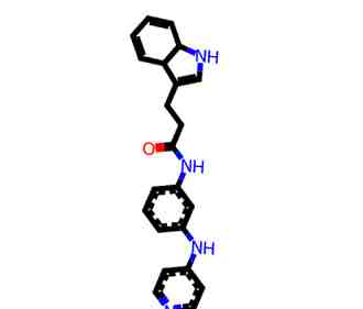 O=C(CCC1=CNC2C=CC=CC12)Nc1cccc(Nc2ccncc2)c1